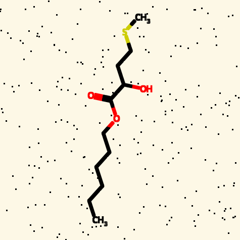 CCCCCCOC(=O)C(O)CCSC